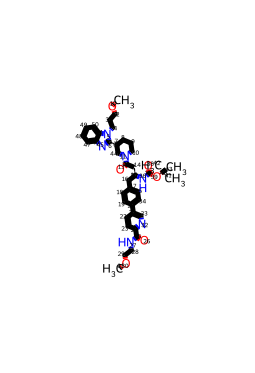 COCCCn1c([C@@H]2CCCN(C(=O)C[C@@H](Cc3ccc(-c4ccc(C(=O)NCCOC)nc4)cc3)NC(=O)OC(C)(C)C)C2)nc2ccccc21